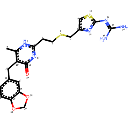 Cc1[nH]c(CCSCc2csc(N=C(N)N)n2)nc(=O)c1Cc1ccc2c(c1)OCO2